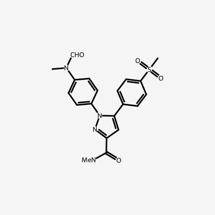 CNC(=O)c1cc(-c2ccc(S(C)(=O)=O)cc2)n(-c2ccc(N(C)C=O)cc2)n1